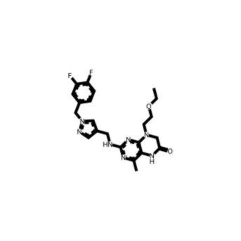 CCOCCN1CC(=O)Nc2c(C)nc(NCc3cnn(Cc4ccc(F)c(F)c4)c3)nc21